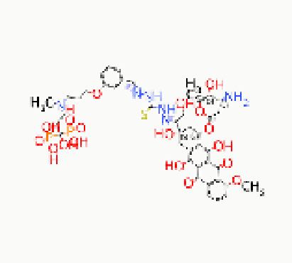 COc1cccc2c1C(=O)c1c(O)c3c(c(O)c1C2=O)C[C@@](O)(/C(CO)=N/NC(=S)N/N=C/c1cccc(OCCCN(C)CCC(O)(P(=O)(O)O)P(=O)(O)O)c1)C[C@@H]3O[C@H]1C[C@H](N)[C@H](O)[C@H](C)O1